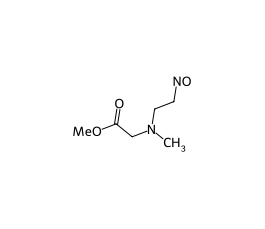 COC(=O)CN(C)CCN=O